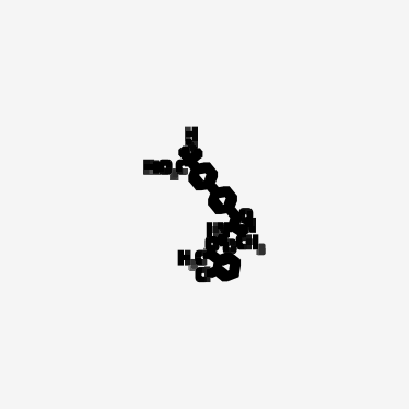 CCOC(=O)C1(c2ccc(-c3ccc(-c4onc(C)c4NC(=O)O[C@H](C)c4ccccc4Cl)cc3)cc2)CNC1